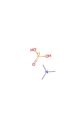 CN(C)C.O=[PH](O)O